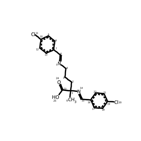 CC(CCCN=Cc1ccc(Cl)cc1)(N=Cc1ccc(Cl)cc1)C(=O)O